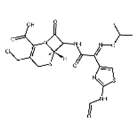 CC(C)ON=C(C(=O)NC1C(=O)N2C(C(=O)O)=C(CCl)CS[C@@H]12)c1csc(NC=O)n1